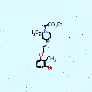 CCOC(=O)CN1CC[C@H](CCCOc2cccc(Br)c2C)C[C@H]1C